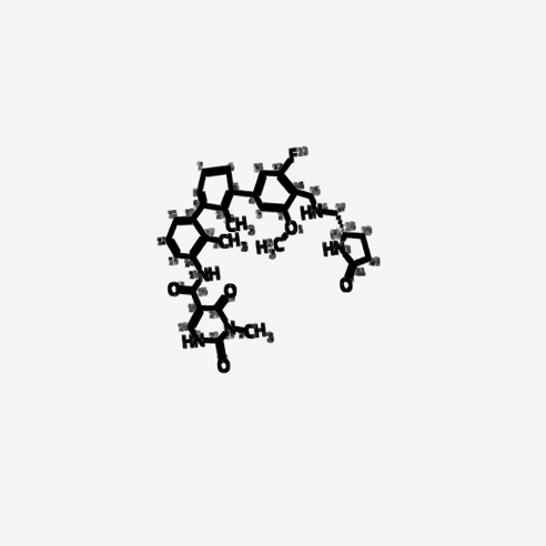 COc1cc(-c2cccc(-c3cccc(NC(=O)c4c[nH]c(=O)n(C)c4=O)c3C)c2C)cc(F)c1CNC[C@@H]1CCC(=O)N1